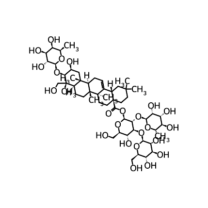 C[C@@H]1O[C@@H](O[C@H]2[C@H](OC(=O)[C@]34CCC(C)(C)C[C@H]3C3=CC[C@@H]5[C@@]6(C)C[C@H](O)[C@H](O[C@@H]7O[C@H](C)[C@H](O)[C@H](O)[C@H]7O)[C@@](C)(CO)[C@@H]6CC[C@@]5(C)[C@]3(C)CC4)O[C@H](CO)[C@@H](O)[C@@H]2O[C@@H]2O[C@H](CO)[C@@H](O)[C@H](O)[C@H]2O)[C@H](O)[C@H](O)[C@H]1O